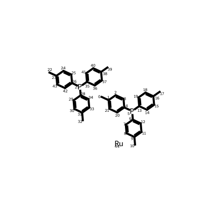 Cc1ccc(P(c2ccc(C)cc2)c2ccc(C)cc2)cc1.Cc1ccc(P(c2ccc(C)cc2)c2ccc(C)cc2)cc1.[Ru]